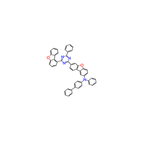 c1ccc(-c2ccc(N(c3ccccc3)c3ccc4oc5cc(-c6nc(-c7ccccc7)nc(-c7cccc8oc9ccccc9c78)n6)ccc5c4c3)cc2)cc1